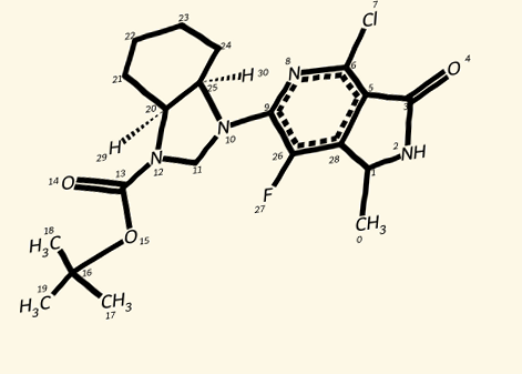 CC1NC(=O)c2c(Cl)nc(N3CN(C(=O)OC(C)(C)C)[C@H]4CCCC[C@H]43)c(F)c21